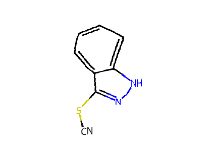 N#CSc1n[nH]c2ccccc12